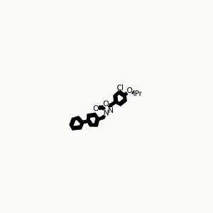 CC(C)Oc1ccc(-c2nn(Cc3ccc(-c4ccccc4)cc3)c(=O)o2)cc1Cl